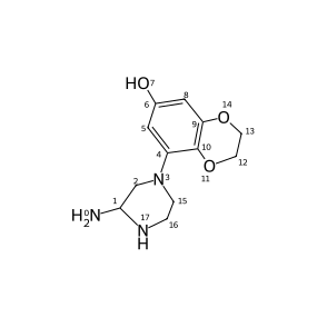 NC1CN(c2cc(O)cc3c2OCCO3)CCN1